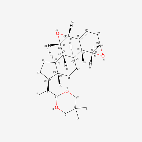 CC(C1OCC(C)(C)CO1)[C@H]1CC[C@H]2[C@@H]3[C@@H]4O[C@@H]4C4=C[CH][C@@H]5O[C@@H]5[C@]4(C)[C@H]3CC[C@]12C